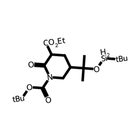 CCOC(=O)C1CC(C(C)(C)O[SiH2]C(C)(C)C)CN(C(=O)OC(C)(C)C)C1=O